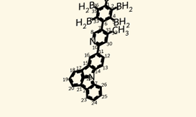 Bc1c(B)c(B)c(-c2cnc(-c3ccc4c(c3)c3cccc5c6ccccc6n4c53)cc2C)c(B)c1B